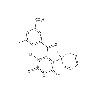 CCn1c(C(=O)c2cc(C)cc(C(=O)O)c2)c(C2(C)C=CC=CC2)c(=O)[nH]c1=O